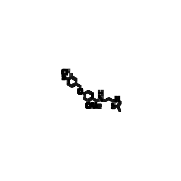 COc1cc(OCc2ccc(SC(F)(F)F)cc2)ccc1CNCCc1ncc(C)s1